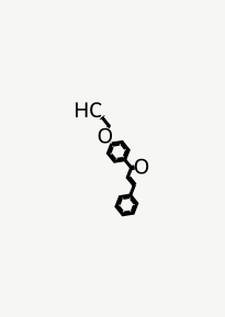 C#CCOc1ccc(C(=O)/C=C/c2ccccc2)cc1